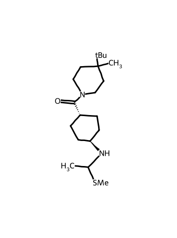 CSC(C)N[C@H]1CC[C@H](C(=O)N2CCC(C)(C(C)(C)C)CC2)CC1